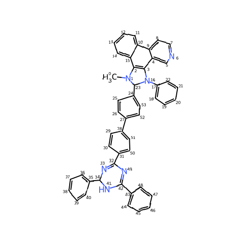 CN1c2c(c3cnccc3c3ccccc23)N(c2ccccc2)C1c1ccc(-c2ccc(C3=NC(c4ccccc4)NC(c4ccccc4)=N3)cc2)cc1